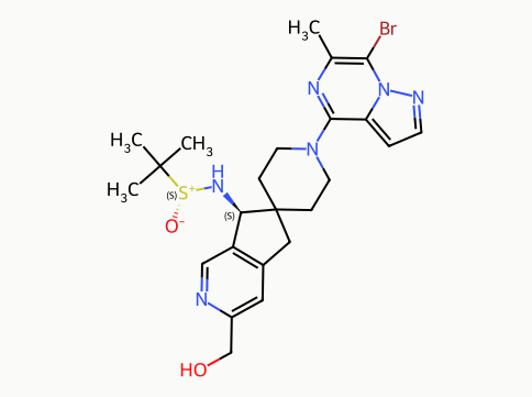 Cc1nc(N2CCC3(CC2)Cc2cc(CO)ncc2[C@H]3N[S@+]([O-])C(C)(C)C)c2ccnn2c1Br